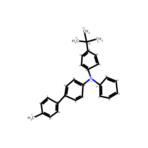 Cc1ccc(-c2ccc(N(c3ccccc3)c3ccc(C(C)(C)C)cc3)cc2)cc1